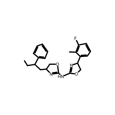 CCC(CC1COC(NC2=NC(c3cccc(F)c3C)CO2)=N1)c1ccccc1